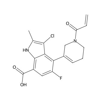 C=CC(=O)N1CCC=C(c2c(F)cc(C(=O)O)c3[nH]c(C)c(Cl)c23)C1